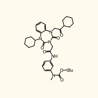 CN(C(=O)OC(C)(C)C)c1cccc(NC(=O)CN2C(=O)N(CC(=O)C3CCCCC3)c3ccccc3N(C3CCCCC3)C2=O)c1